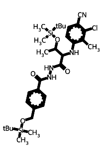 Cc1c(NC(C(=O)NNC(=O)c2ccc(CO[Si](C)(C)C(C)(C)C)cc2)C(C)O[Si](C)(C)C(C)(C)C)ccc(C#N)c1Cl